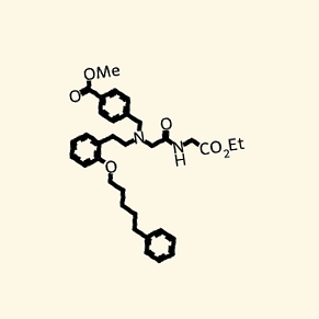 CCOC(=O)CNC(=O)CN(CCc1ccccc1OCCCCCc1ccccc1)Cc1ccc(C(=O)OC)cc1